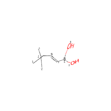 CC(C)(C)C=CB(O)O